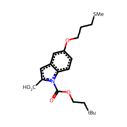 CSCCCOc1ccc2c(c1)cc(C(=O)O)n2C(=O)OCCC(C)(C)C